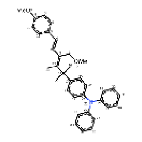 COC/C(C=Cc1ccc(OC)cc1)=C(/C)C(C)(C)c1ccc(N(c2ccccc2)c2ccccc2)cc1